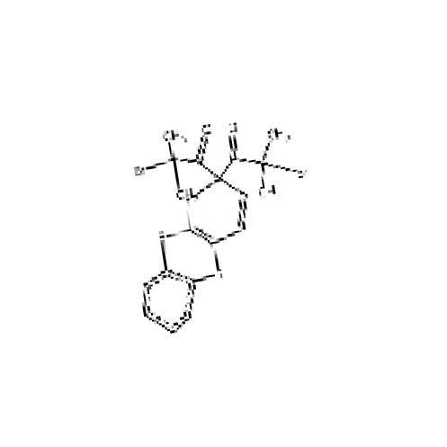 CC(C)(Br)C(=O)C1(C(=O)C(C)(C)Br)C=CC2=C(C1)Sc1ccccc1S2